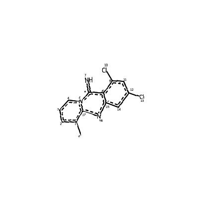 Cc1cccn2c(=N)c3c(Cl)cc(Cl)cc3nc12